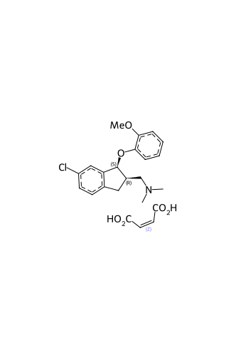 COc1ccccc1O[C@@H]1c2cc(Cl)ccc2C[C@@H]1CN(C)C.O=C(O)/C=C\C(=O)O